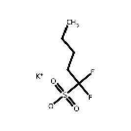 CCCCC(F)(F)S(=O)(=O)[O-].[K+]